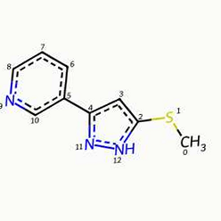 CSc1cc(-c2cccnc2)n[nH]1